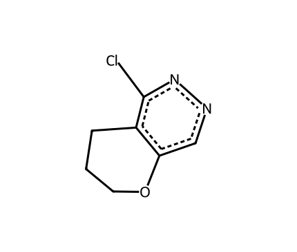 Clc1nncc2c1CCCO2